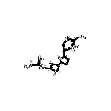 Cc1ncc(-c2ccc(-c3csc(NC(=N)N)n3)o2)[nH]1